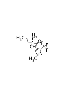 CCCC(C)(C)C(=O)c1cn(C)nc1C(F)(F)F